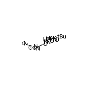 CC(C)(C)c1cc(NC(=O)Nc2cn3cc(C#Cc4cn5cc(OCCCN6CCCCC6)ccc5n4)ccc3n2)no1